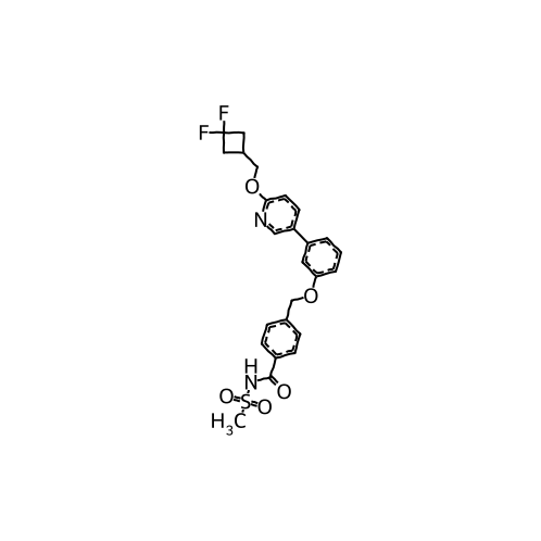 CS(=O)(=O)NC(=O)c1ccc(COc2cccc(-c3ccc(OCC4CC(F)(F)C4)nc3)c2)cc1